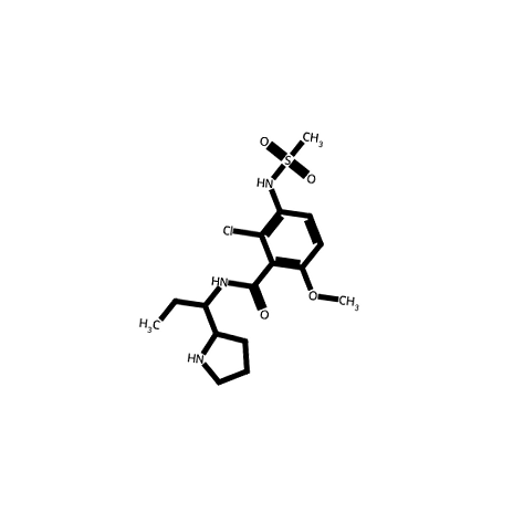 CCC(NC(=O)c1c(OC)ccc(NS(C)(=O)=O)c1Cl)C1CCCN1